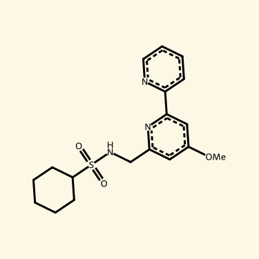 COc1cc(CNS(=O)(=O)C2CCCCC2)nc(-c2ccccn2)c1